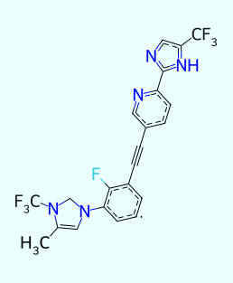 CC1=CN(c2c[c]cc(C#Cc3ccc(-c4ncc(C(F)(F)F)[nH]4)nc3)c2F)CN1C(F)(F)F